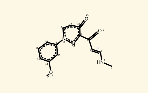 CN/C=C/C(=O)c1nn(-c2cccc(OC)c2)ccc1=O